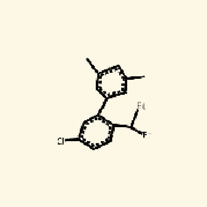 CCC(CC)c1ccc(Cl)cc1-c1cc(C)cc(C)c1